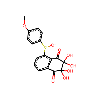 COc1ccc([S+]([O-])c2cccc3c2C(=O)C(O)(O)C(O)(O)C3=O)cc1